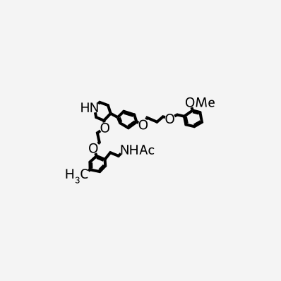 COc1ccccc1COCCCOc1ccc(C2CCNCC2OCCOc2cc(C)ccc2CCNC(C)=O)cc1